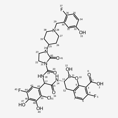 O=C(O)c1c(F)ccc2c1OB(O)[C@@H](NC(=O)C(NC(=O)N1CCN(C3CCN(Cc4cc(O)ccc4F)CC3)C1=O)c1cc(F)c(O)c(O)c1Cl)C2